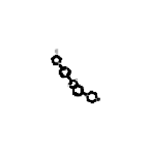 F[C@@H]1CCN(c2ccc(-c3nc4cnc(N5CCNCC5)cc4s3)cn2)C1